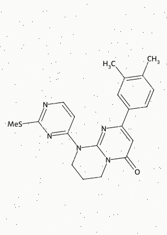 CSc1nccc(N2CCCn3c2nc(-c2ccc(C)c(C)c2)cc3=O)n1